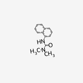 CN(C)C(=O)Nc1cccc2ccccc12